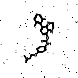 Cc1cccc(C)c1-c1ccc(OC(=O)Nc2ccc(OCCN(C)C)cc2)c2nccnc12